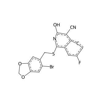 N#Cc1c(O)nc(SCc2cc3c(cc2Br)OCO3)c2cc(F)ccc12